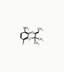 C/C=C(\Oc1cc(F)ccc1N)C(C)(C)C